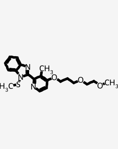 COCCOCCCOc1ccnc(-c2nc3ccccc3n2SC)c1C